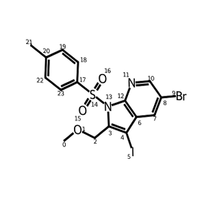 COCc1c(I)c2cc(Br)cnc2n1S(=O)(=O)c1ccc(C)cc1